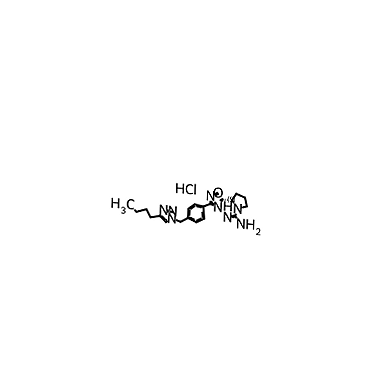 CCCCc1cn(Cc2ccc(-c3noc([C@@H]4CCCN4C(=N)N)n3)cc2)nn1.Cl